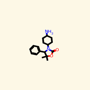 CC1(C)OC(=O)N(C2CCC(N)CC2)C1c1ccccc1